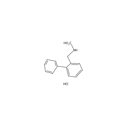 Cl.O=C(O)NCc1ccccc1-c1ccccc1